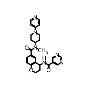 CN(C(=O)c1ccc2c(c1)C(NC(=O)c1cncnc1)CCO2)C1CCN(c2ccncc2)CC1